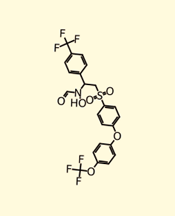 O=CN(O)C(CS(=O)(=O)c1ccc(Oc2ccc(OC(F)(F)F)cc2)cc1)c1ccc(C(F)(F)F)cc1